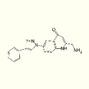 NCc1cc(=O)c2cc(-n3cc(-c4ccccc4)cn3)ccc2[nH]1